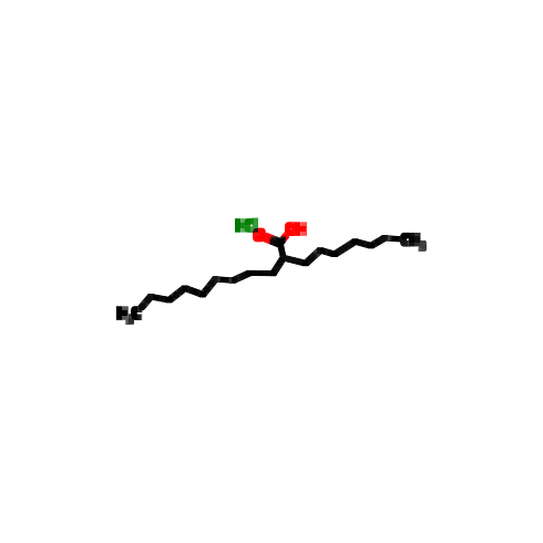 CCCCCCCCCC(CCCCCCC)C(=O)O.Cl